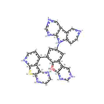 c1cc2c(cn1)c1cncnc1n2-c1cc(-c2ccnc3sc4nccnc4c23)c2oc3ncncc3c2c1